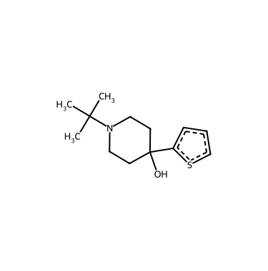 CC(C)(C)N1CCC(O)(c2cccs2)CC1